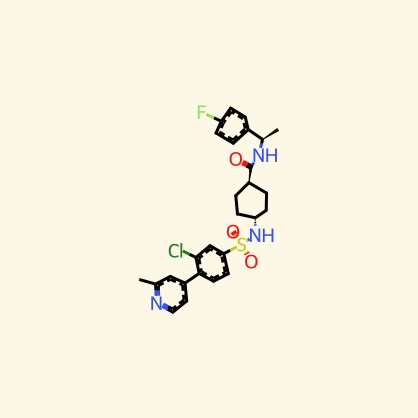 Cc1cc(-c2ccc(S(=O)(=O)N[C@H]3CC[C@H](C(=O)N[C@H](C)c4ccc(F)cc4)CC3)cc2Cl)ccn1